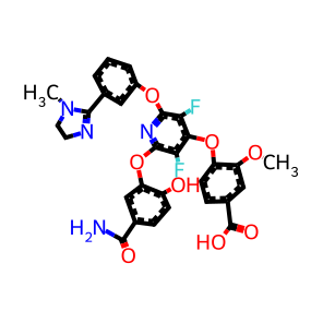 COc1cc(C(=O)O)ccc1Oc1c(F)c(Oc2cccc(C3=NCCN3C)c2)nc(Oc2cc(C(N)=O)ccc2O)c1F